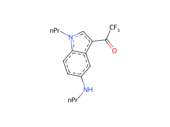 CCCNc1ccc2c(c1)c(C(=O)C(F)(F)F)cn2CCC